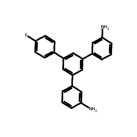 Nc1cccc(-c2cc(-c3ccc(F)cc3)cc(-c3cccc(N)c3)c2)c1